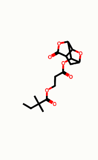 CCC(C)(C)C(=O)OCCC(=O)OC1C2CC3C(=O)OC1C3O2